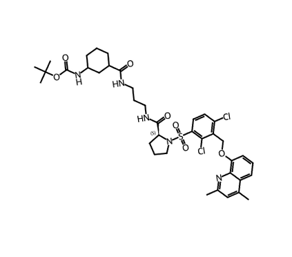 Cc1cc(C)c2cccc(OCc3c(Cl)ccc(S(=O)(=O)N4CCC[C@H]4C(=O)NCCCNC(=O)C4CCCC(NC(=O)OC(C)(C)C)C4)c3Cl)c2n1